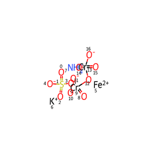 O=S(=O)([O-])[O-].[Fe+2].[K+].[NH4+].[O]=[Cr](=[O])([O-])[O][Cr](=[O])(=[O])[O-]